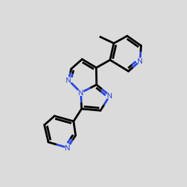 Cc1ccncc1-c1ccnn2c(-c3cccnc3)cnc12